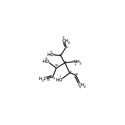 C=CC(O)C(N)(C(O)C=C)C(O)C=C